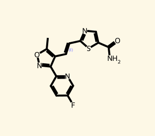 Cc1onc(-c2ccc(F)cn2)c1/C=C/c1ncc(C(N)=O)s1